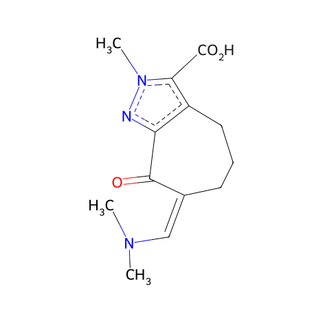 CN(C)C=C1CCCc2c(nn(C)c2C(=O)O)C1=O